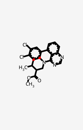 COC(=O)C1CN(c2ncnc3cccc(-c4ccc(Cl)c(Cl)c4)c23)CCC1C